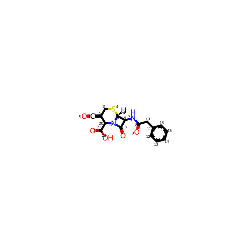 O=C=C1CS[C@@H]2C(NC(=O)Cc3ccccc3)C(=O)N2C1C(=O)O